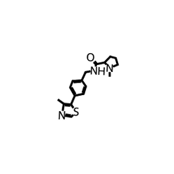 Cc1ncsc1-c1ccc(CNC(=O)C2CCCN2C)cc1